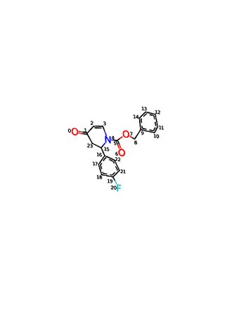 O=C1C=CN(C(=O)OCc2ccccc2)C(c2ccc(F)cc2)C1